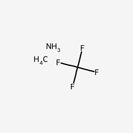 C.FC(F)(F)F.N